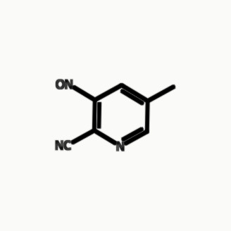 Cc1cnc(C#N)c(N=O)c1